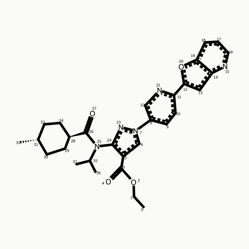 CCOC(=O)c1cn(-c2ccc(-c3cc4ncccc4o3)nc2)nc1N(C(=O)[C@H]1CC[C@H](C)CC1)C(C)C